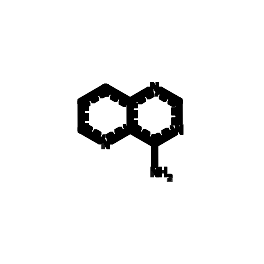 Nc1ncnc2cccnc12